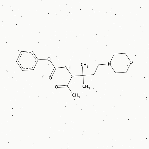 CC(=O)C(NC(=O)Oc1ccccc1)C(C)(C)CCN1CCOCC1